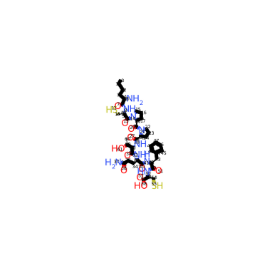 CCCC[C@H](N)C(=O)N[C@@H](CS)C(=O)N1CCC[C@H]1C(=O)N1CCC[C@H]1C(=O)N[C@H](C(=O)N[C@@H](CCC(N)=O)C(=O)N[C@@H](Cc1ccccc1)C(=O)N[C@@H](CS)C(=O)O)[C@@H](C)O